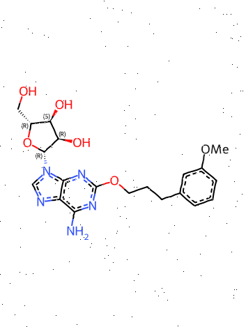 COc1cccc(CCCOc2nc(N)c3ncn([C@@H]4O[C@H](CO)[C@@H](O)[C@H]4O)c3n2)c1